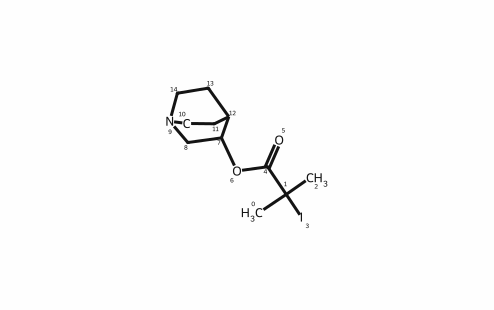 CC(C)(I)C(=O)OC1CN2CCC1CC2